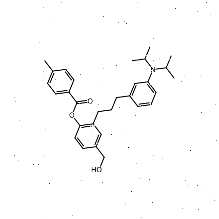 Cc1ccc(C(=O)Oc2ccc(CO)cc2CCCc2cccc(N(C(C)C)C(C)C)c2)cc1